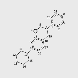 c1ccc(C2COc3cc(C4CCCCC4)ccc3C2)cc1